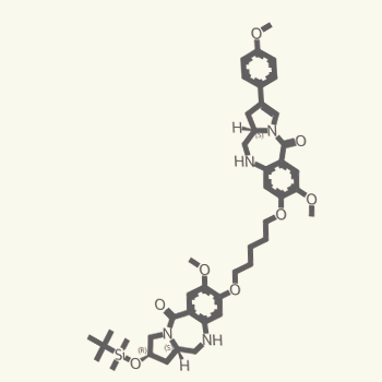 COc1ccc(C2=CN3C(=O)c4cc(OC)c(OCCCCCOc5cc6c(cc5OC)C(=O)N5C[C@H](O[Si](C)(C)C(C)(C)C)C[C@H]5CN6)cc4NC[C@@H]3C2)cc1